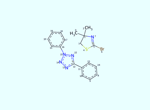 CC1(C)CSC(Br)=N1.c1ccc(-c2nnn(-c3ccccc3)n2)cc1